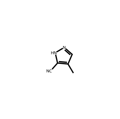 Cc1cn[nH]c1C#N